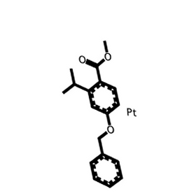 COC(=O)c1ccc(OCc2ccccc2)cc1C(C)C.[Pt]